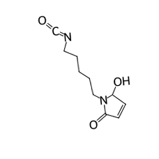 O=C=NCCCCCN1C(=O)C=CC1O